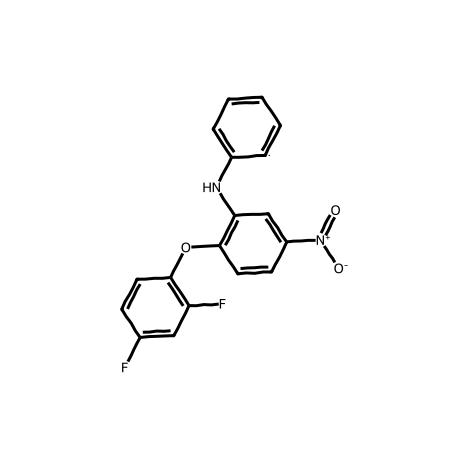 O=[N+]([O-])c1ccc(Oc2ccc(F)cc2F)c(Nc2[c]cccc2)c1